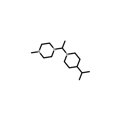 CC(C)C1CCN(C(C)N2CCN(C)CC2)CC1